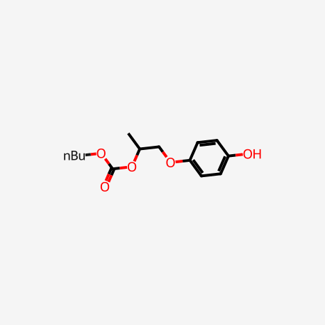 CCCCOC(=O)OC(C)COc1ccc(O)cc1